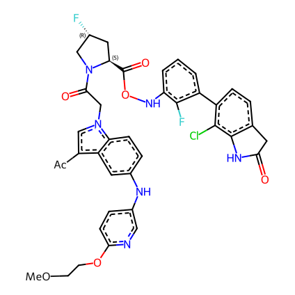 COCCOc1ccc(Nc2ccc3c(c2)c(C(C)=O)cn3CC(=O)N2C[C@H](F)C[C@H]2C(=O)ONc2cccc(-c3ccc4c(c3Cl)NC(=O)C4)c2F)cn1